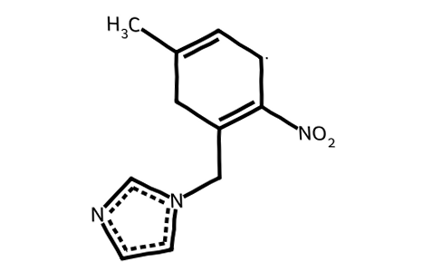 CC1=C[CH]C([N+](=O)[O-])=C(Cn2ccnc2)C1